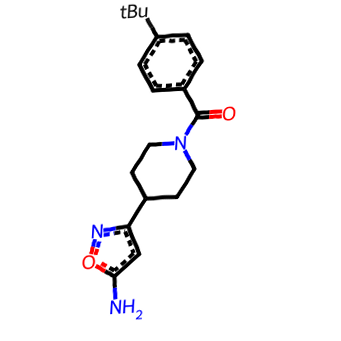 CC(C)(C)c1ccc(C(=O)N2CCC(c3cc(N)on3)CC2)cc1